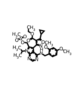 CCOC(=O)c1c(-c2c(COS(C)(=O)=O)n(C(C)C)c3ncnc(NCc4ccc(OC)cc4OC)c23)noc1C1CC1